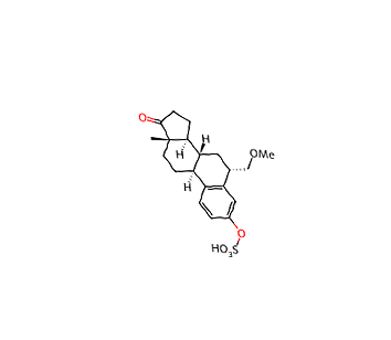 COC[C@H]1C[C@@H]2[C@H](CC[C@]3(C)C(=O)CC[C@@H]23)c2ccc(OS(=O)(=O)O)cc21